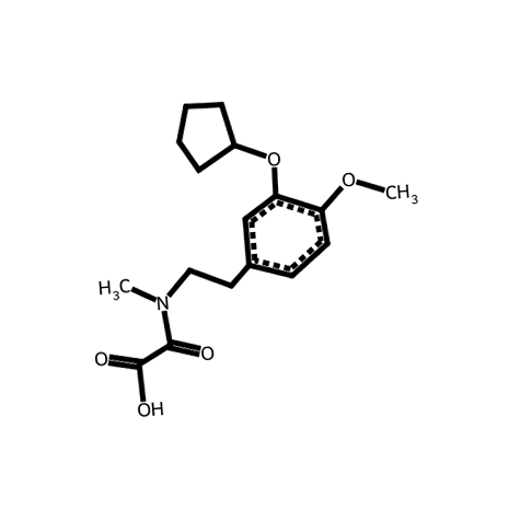 COc1ccc(CCN(C)C(=O)C(=O)O)cc1OC1CCCC1